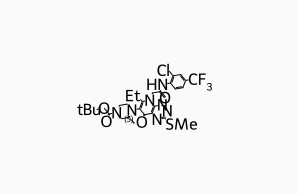 CCc1c(N2CCN(C(=O)OC(C)(C)C)C[C@@H]2C)c(=O)c2nc(SC)nnc2n1CC(=O)Nc1ccc(C(F)(F)F)cc1Cl